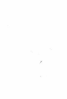 Cc1cc([C@@H]2CNCC[C@H]2C)n2nc(C3CCC(C(F)(F)F)CC3)cc2n1